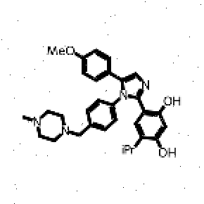 COc1ccc(-c2cnc(-c3cc(C(C)C)c(O)cc3O)n2-c2ccc(CN3CCN(C)CC3)cc2)cc1